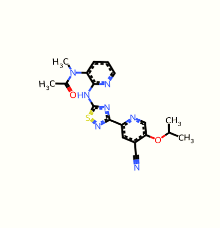 CC(=O)N(C)c1cccnc1Nc1nc(-c2cc(C#N)c(OC(C)C)cn2)ns1